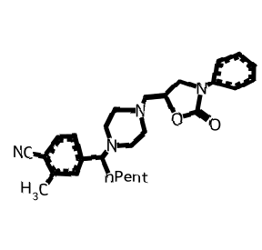 CCCCCC(c1ccc(C#N)c(C)c1)N1CCN(CC2CN(c3ccccc3)C(=O)O2)CC1